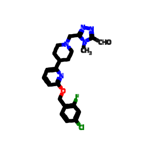 Cn1c(C=O)nnc1CN1CCC(c2cccc(OCc3ccc(Cl)cc3F)n2)CC1